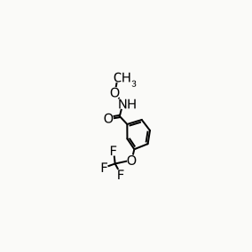 CONC(=O)c1cccc(OC(F)(F)F)c1